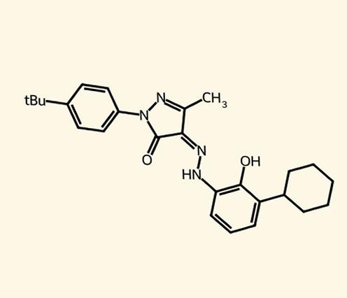 CC1=NN(c2ccc(C(C)(C)C)cc2)C(=O)C1=NNc1cccc(C2CCCCC2)c1O